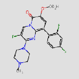 CN1CCN(c2nc3c(-c4ccc(F)cc4F)cc(OC(=O)O)c(=O)n3cc2F)CC1